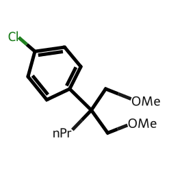 CCCC(COC)(COC)c1ccc(Cl)cc1